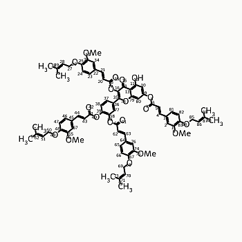 COc1cc(C=CC(=O)Oc2cc(O)c3c(=O)c(OC(=O)C=Cc4ccc(OCC=C(C)C)c(OC)c4)c(-c4ccc(OC(=O)C=Cc5ccc(OCC=C(C)C)c(OC)c5)c(OC(=O)C=Cc5ccc(OCC=C(C)C)c(OC)c5)c4)oc3c2)ccc1OCC=C(C)C